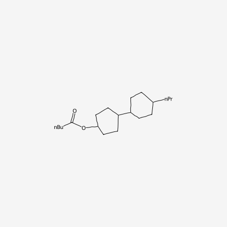 CCCCC(=O)OC1CCC(C2CCC(CCC)CC2)CC1